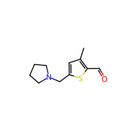 Cc1cc(CN2CCCC2)sc1C=O